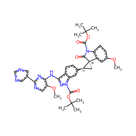 COc1ccc2c(c1)[C@]1(C[C@H]1c1ccc3c(Nc4nc(-c5cncnc5)ncc4OC)nn(C(=O)OC(C)(C)C)c3c1)C(=O)N2C(=O)OC(C)(C)C